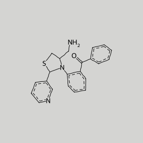 NCC1CSC(c2cccnc2)N1c1ccccc1C(=O)c1ccccc1